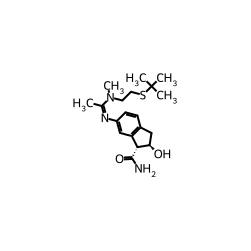 CC(=Nc1ccc2c(c1)[C@@H](C(N)=O)[C@H](O)C2)N(C)CCSC(C)(C)C